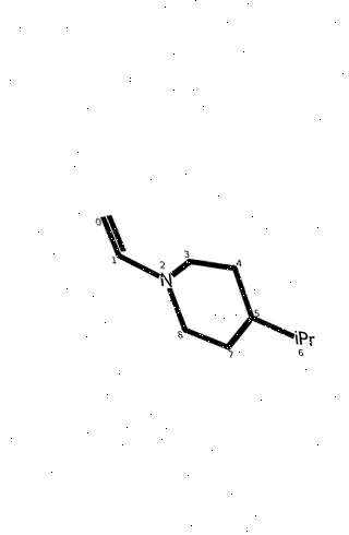 C=CN1CCC(C(C)C)CC1